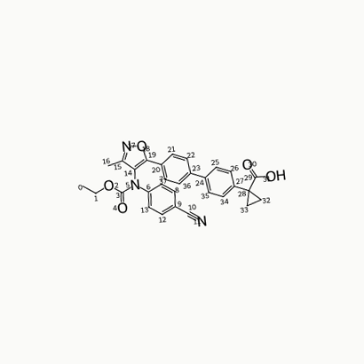 CCOC(=O)N(c1ccc(C#N)cc1)c1c(C)noc1-c1ccc(-c2ccc(C3(C(=O)O)CC3)cc2)cc1